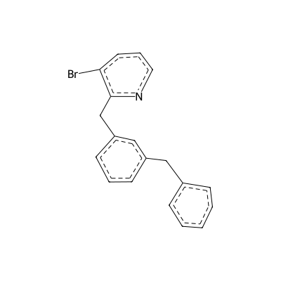 Brc1cccnc1Cc1cccc(Cc2ccccc2)c1